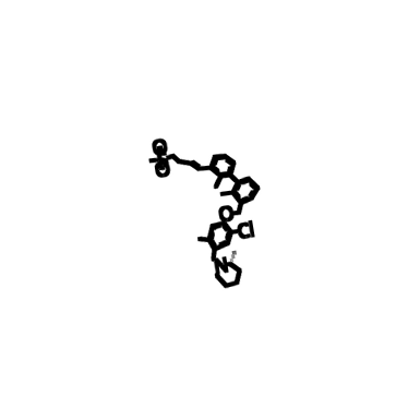 Cc1cc(OCc2cccc(-c3cccc(/C=C/CCS(C)(=O)=O)c3C)c2C)c(Cl)cc1CN1CCCC[C@H]1C